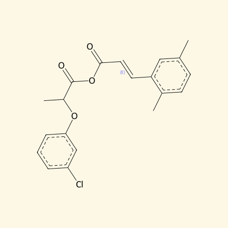 Cc1ccc(C)c(/C=C/C(=O)OC(=O)C(C)Oc2cccc(Cl)c2)c1